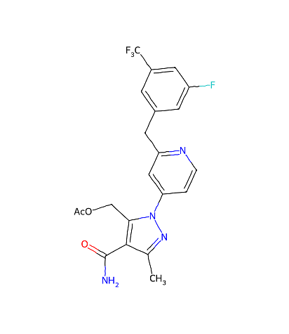 CC(=O)OCc1c(C(N)=O)c(C)nn1-c1ccnc(Cc2cc(F)cc(C(F)(F)F)c2)c1